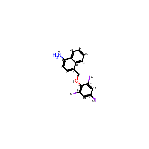 Nc1ccc(COc2c(I)cc(I)cc2I)c2ccccc12